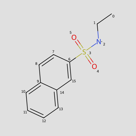 CC[N]S(=O)(=O)c1ccc2ccccc2c1